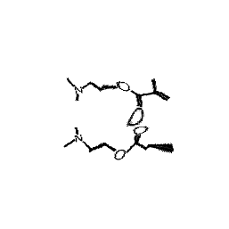 C=C(C)C(=O)OCCN(C)C.C=CC(=O)OCCN(C)C